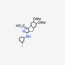 COc1cc2c(cc1OC)-c1c(c(Nc3cccc(F)c3)nn1C(=O)O)C2